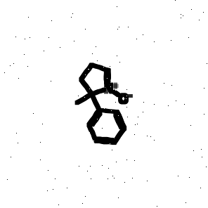 CC1(c2ccccc2)CCC=[N+]1[O-]